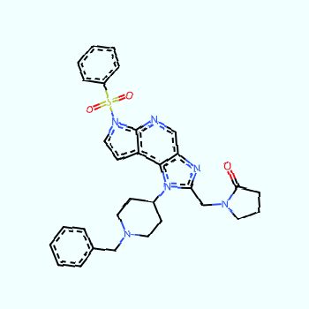 O=C1CCCN1Cc1nc2cnc3c(ccn3S(=O)(=O)c3ccccc3)c2n1C1CCN(Cc2ccccc2)CC1